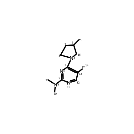 CC1CCN(c2nc(N(C)C)ncc2F)C1